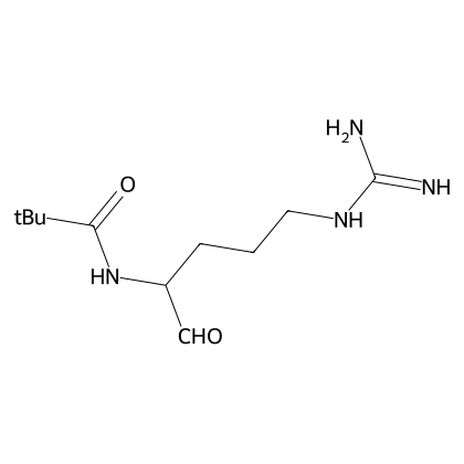 CC(C)(C)C(=O)NC(C=O)CCCNC(=N)N